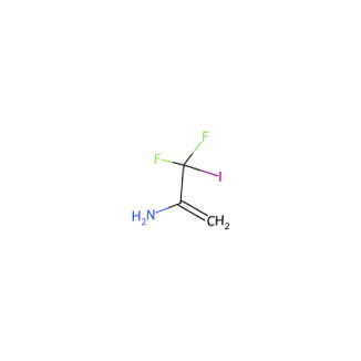 C=C(N)C(F)(F)I